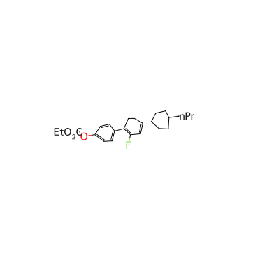 CCC[C@H]1CC[C@H](c2ccc(-c3ccc(OC(=O)OCC)cc3)c(F)c2)CC1